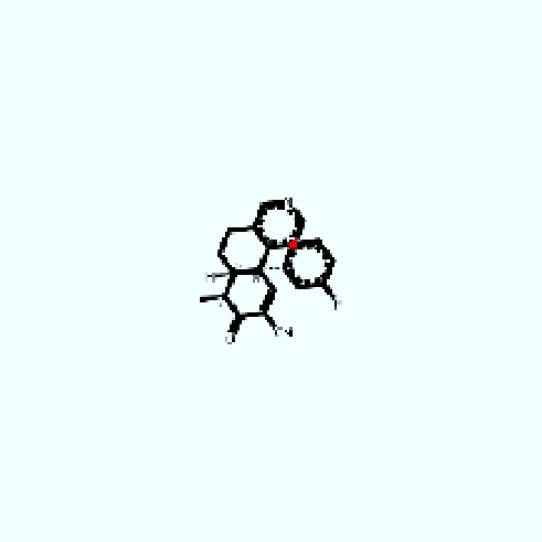 C[C@@H]1C(=O)C(C#N)=C[C@]2(c3cccc(F)c3)c3ncncc3CC[C@@H]12